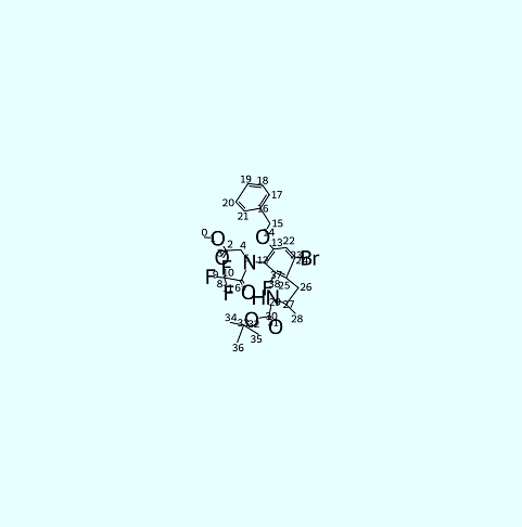 COC(=O)CN(C(=O)C(F)(F)F)c1c(OCc2ccccc2)cc(Br)c(CC(C)NC(=O)OC(C)(C)C)c1F